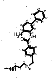 CNCCCN(C)Cc1ccc(C(=O)Nc2cc(-c3ccccc3)ccc2N)cc1